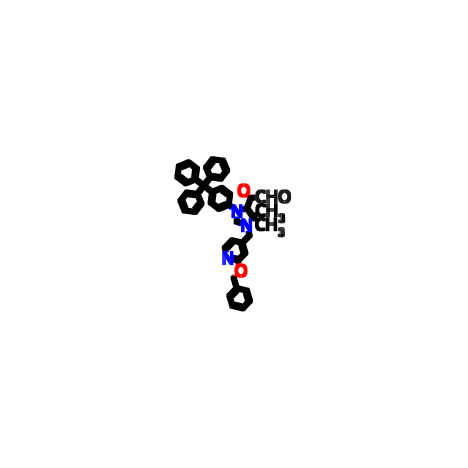 CC1(C)C(C(=O)C=O)N(c2ccc(C(c3ccccc3)(c3ccccc3)c3ccccc3)cc2)CN1Cc1ccnc(OCc2ccccc2)c1